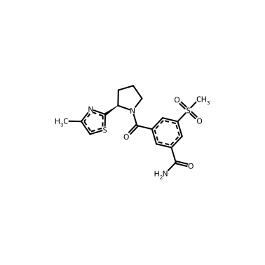 Cc1csc([C@H]2CCCN2C(=O)c2cc(C(N)=O)cc(S(C)(=O)=O)c2)n1